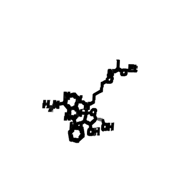 CCO/C(C)=N\OCCCCN(C)[C@@]1(n2c(-c3ccccc3)nc3c(N)ncnc32)O[C@H](CO)[C@@H](O)[C@H]1O